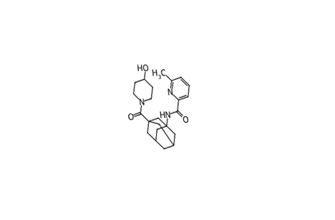 Cc1cccc(C(=O)NC23CC4CC(C2)CC(C(=O)N2CCC(O)CC2)(C4)C3)n1